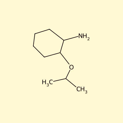 CC(C)OC1CCCCC1N